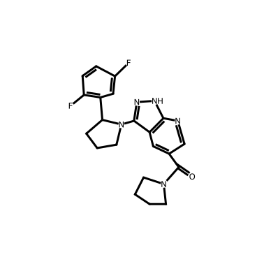 O=C(c1cnc2[nH]nc(N3CCCC3c3cc(F)ccc3F)c2c1)N1CCCC1